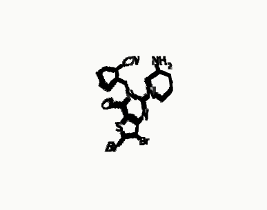 N#Cc1ccccc1Cn1c(N2CCCC(N)C2)nc2c(Br)c(Br)sc2c1=O